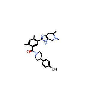 Cc1cc(C)c(-c2nc3c([nH]2)CN(C)C(C)C3)cc1C(=O)N1CCC(c2ccc(C#N)cc2)CC1